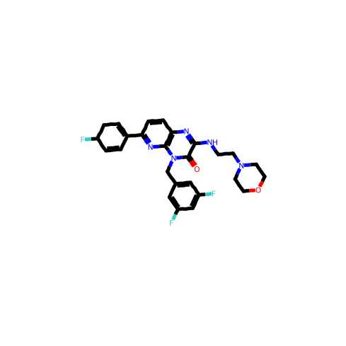 O=c1c(NCCN2CCOCC2)nc2ccc(C3=CCC(F)C=C3)nc2n1Cc1cc(F)cc(F)c1